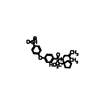 C=C(C)CN(C1(C(=O)O)CCCC1)S(=O)(=O)c1ccc(Oc2ccc([SH](=O)=O)cc2)cc1